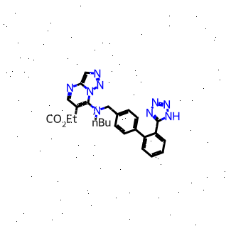 CCCCN(Cc1ccc(-c2ccccc2-c2nnn[nH]2)cc1)c1c(C(=O)OCC)cnc2cnnn12